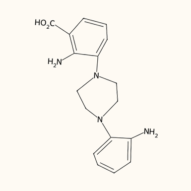 Nc1ccccc1N1CCN(c2cccc(C(=O)O)c2N)CC1